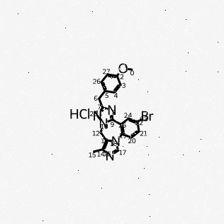 COc1ccc(Cc2nc3n(n2)Cc2c(C)ncn2-c2ccc(Br)cc2-3)cc1.Cl